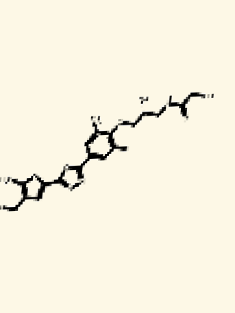 CCc1cc(-c2nnc(-c3cc(CC(C)C)c(C)s3)o2)cc(C)c1OC[C@H](O)CNC(=O)CO